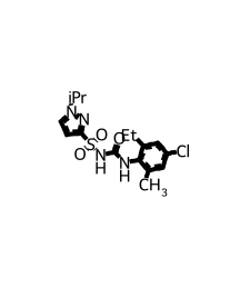 CCc1cc(Cl)cc(C)c1NC(=O)NS(=O)(=O)c1ccn(C(C)C)n1